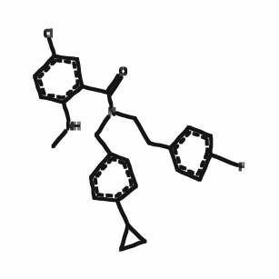 CNc1ccc(Cl)cc1C(=O)N(CCc1ccc(F)cc1)Cc1ccc(C2CC2)cc1